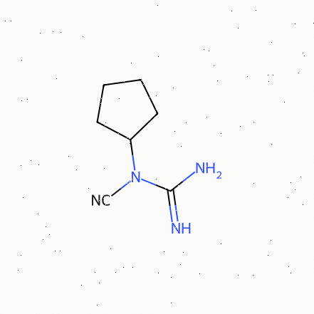 N#CN(C(=N)N)C1CCCC1